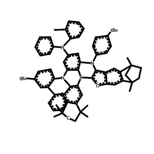 Cc1ccccc1N(c1ccccc1)c1cc2c3c(c1)N(c1ccc(C(C)(C)C)cc1)c1c(oc4cc5c(cc14)C1(C)CCC5(C)C1)B3c1cc3c(cc1N2c1ccc(C(C)(C)C)cc1-c1ccccc1)C(C)(C)CCC3(C)C